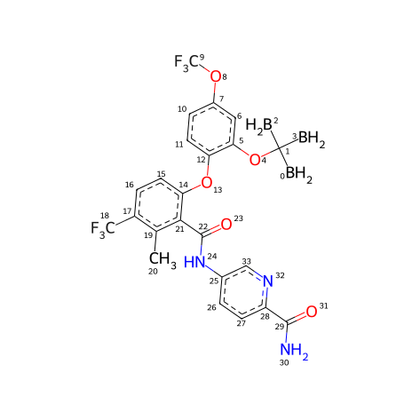 BC(B)(B)Oc1cc(OC(F)(F)F)ccc1Oc1ccc(C(F)(F)F)c(C)c1C(=O)Nc1ccc(C(N)=O)nc1